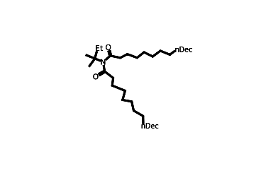 [CH2]CC(C)(C)N(C(=O)CCCCCCCCCCCCCCCCC)C(=O)CCCCCCCCCCCCCCCCC